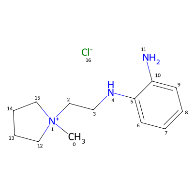 C[N+]1(CCNc2ccccc2N)CCCC1.[Cl-]